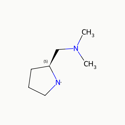 CN(C)C[C@@H]1CCC[N]1